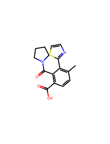 Cc1ccc(C(=O)O)c(C(=O)N2CCCC2)c1-c1nccs1